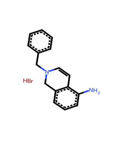 Br.Nc1cccc2c1C=CN(Cc1ccccc1)C2